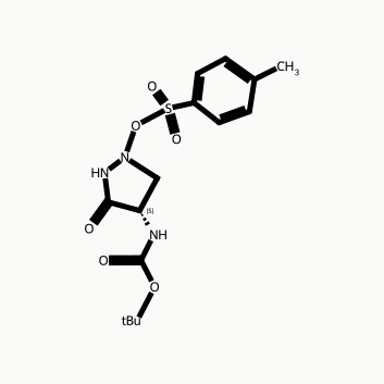 Cc1ccc(S(=O)(=O)ON2C[C@H](NC(=O)OC(C)(C)C)C(=O)N2)cc1